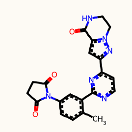 Cc1ccc(N2C(=O)CCC2=O)cc1-c1nccc(-c2cc3n(n2)CCNC3=O)n1